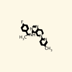 Cc1ccc(N2CCc3ncnc(N[C@H](C)c4ccc(F)cc4)c3C2)nc1